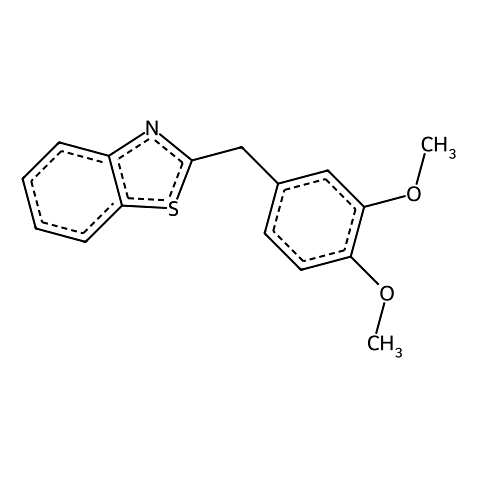 COc1ccc(Cc2nc3ccccc3s2)cc1OC